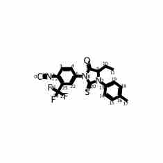 [C-]#[N+]c1ccc(N2C(=O)C(CC)N(c3ccc(C)cc3)C2=S)cc1C(F)(F)F